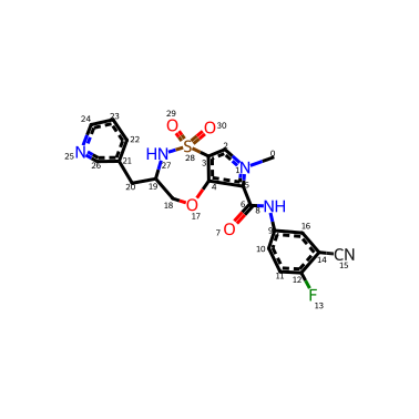 Cn1cc2c(c1C(=O)Nc1ccc(F)c(C#N)c1)OCC(Cc1cccnc1)NS2(=O)=O